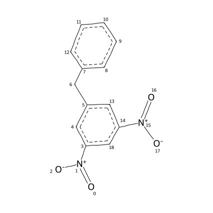 O=[N+]([O-])c1cc(Cc2ccccc2)cc([N+](=O)[O-])c1